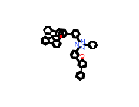 c1ccc(-c2ccc3oc4c(-c5nc(-c6ccccc6)nc(-c6cccc(-c7cccc(-c8cccc9c8C8(c%10ccccc%10-c%10ccccc%108)c8ccccc8-9)c7)c6)n5)cccc4c3c2)cc1